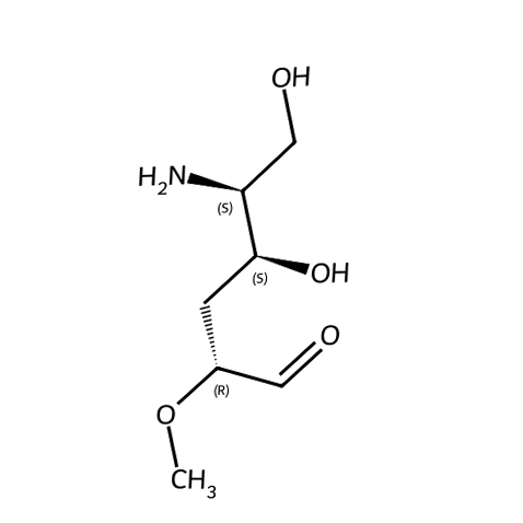 CO[C@@H](C=O)C[C@H](O)[C@@H](N)CO